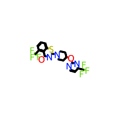 O=c1nc(N2CCC(Oc3nccc(C(F)(F)F)n3)CC2)sc2cccc(C(F)(F)F)c12